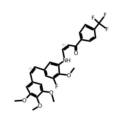 COc1cc(/C=C\c2cc(F)c(OC)c(N/C=C\C(=O)c3ccc(C(F)(F)F)cc3)c2)cc(OC)c1OC